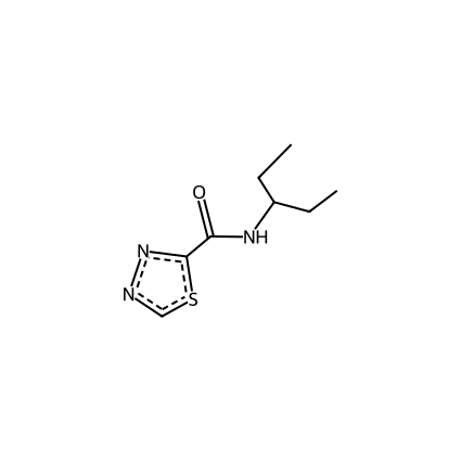 CCC(CC)NC(=O)c1nncs1